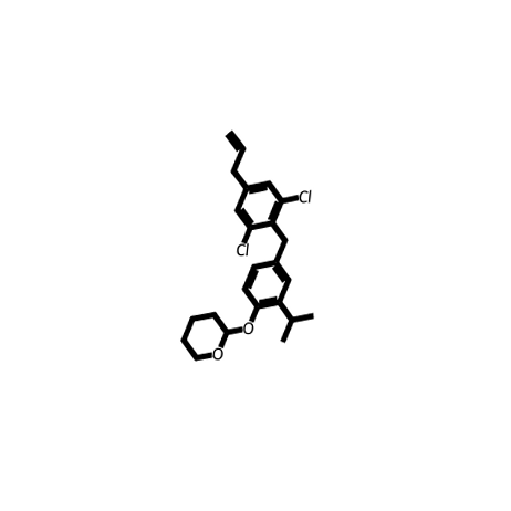 C=CCc1cc(Cl)c(Cc2ccc(OC3CCCCO3)c(C(C)C)c2)c(Cl)c1